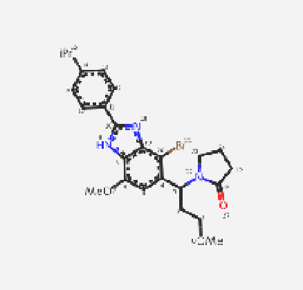 COCCC(c1cc(OC)c2[nH]c(-c3ccc(C(C)C)cc3)nc2c1Br)N1CCCC1=O